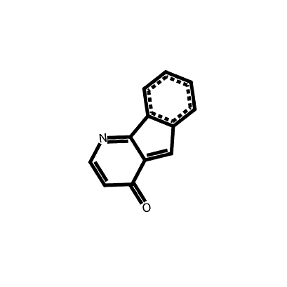 O=C1C=CN=C2C1=Cc1ccccc12